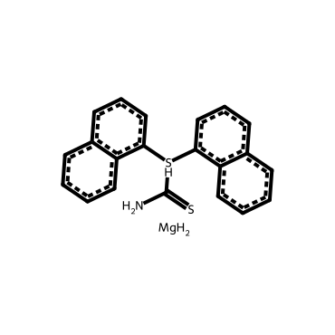 NC(=S)[SH](c1cccc2ccccc12)c1cccc2ccccc12.[MgH2]